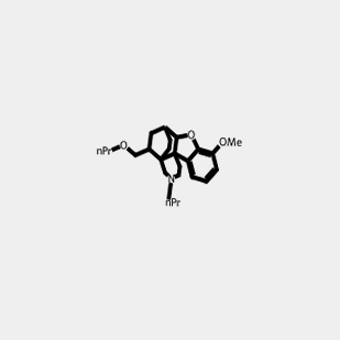 CCCOCC1CC2CCC13CN(CCC)CCC31c3cccc(OC)c3OC21